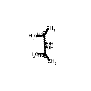 CCCCCCCCC(CCCCCCCC)(CCCCCCN(CCO)CCCN(CCO)CCCCCCC(CCCCCCCC)(CCCCCCCC)C(=O)O)C(=O)O